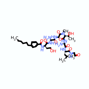 CCCCCCc1ccc(C(=O)N[C@H](CCO)C(=O)N[C@H](N)C(=O)NCC(=O)N(C)[C@H](C(=O)N[C@@H](N)C(=O)N[C@@H](CC(C)C)C(=O)NCC=O)C(C)O)cc1